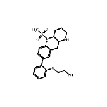 CS(=O)(=O)NC1CCCNC1Cc1cccc(-c2ccccc2OCCN)c1